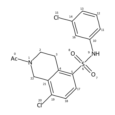 CC(=O)N1CCc2c(S(=O)(=O)Nc3cccc(Cl)c3)ccc(Cl)c2C1